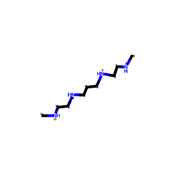 CNCCNCCCNCCNC